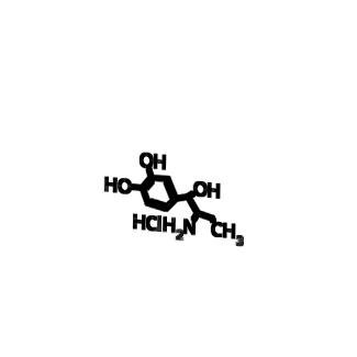 CCC(N)C(O)c1ccc(O)c(O)c1.Cl